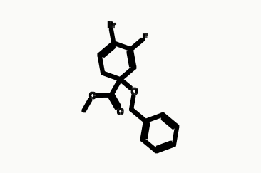 COC(=O)C1(OCc2ccccc2)C=C(F)C(Br)=CC1